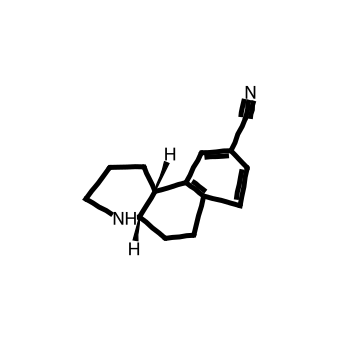 N#Cc1ccc2c(c1)[C@H]1CCCN[C@H]1CC2